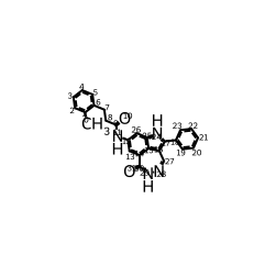 Cc1ccccc1CCC(=O)Nc1cc2c3c(c(-c4ccccc4)[nH]c3c1)C=NNC2=O